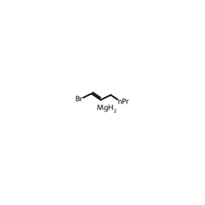 CCCC/C=C/Br.[MgH2]